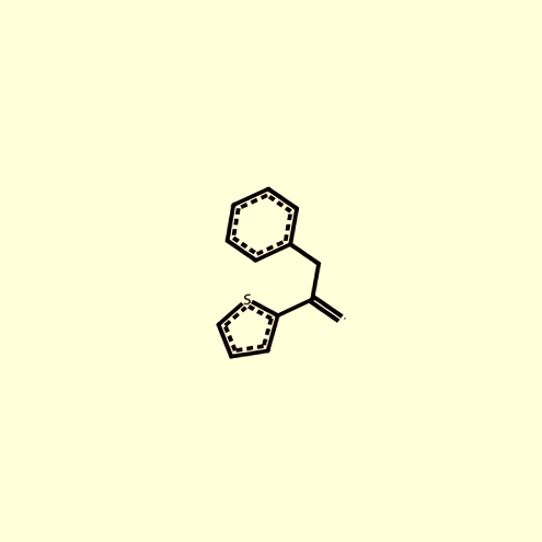 [CH]=C(Cc1ccccc1)c1cccs1